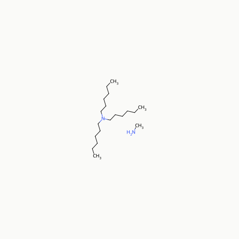 CCCCCCN(CCCCCC)CCCCCC.CN